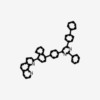 c1ccc(-c2ccc(-c3cc(-c4ccc(-c5ccc(-c6ccc7ccc8cccnc8c7n6)c6ccccc56)cc4)nc(-c4ccccc4)n3)cc2)cc1